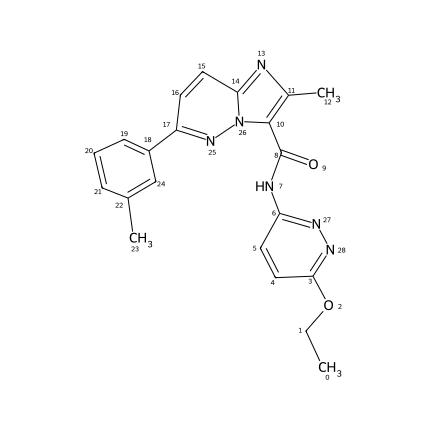 CCOc1ccc(NC(=O)c2c(C)nc3ccc(-c4cccc(C)c4)nn23)nn1